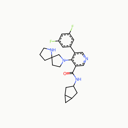 O=C(NC1CC2CC2C1)c1cncc(-c2cc(F)cc(F)c2)c1N1CCC2(CCCN2)C1